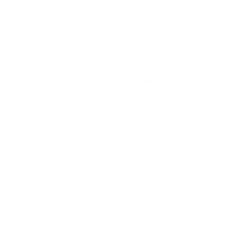 CCOC(O)Cc1ccccc1OCc1cc(-c2cccc(CNC(=O)OC(C)(C)C)c2)c2oc(C=O)cc2c1